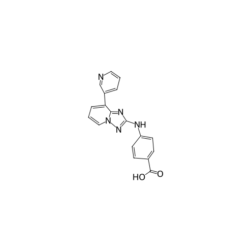 O=C(O)c1ccc(Nc2nc3c(-c4cccnc4)cccn3n2)cc1